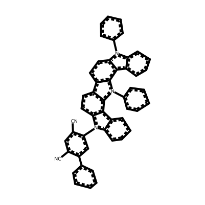 N#Cc1cc(C#N)c(-n2c3ccccc3c3c2ccc2c4ccc5c(c6ccccc6n5-c5ccccc5)c4n(-c4ccccc4)c23)cc1-c1ccccc1